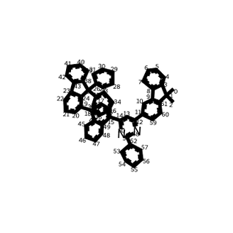 CC1(C)c2ccccc2-c2cc(-c3cc(-c4ccc(-c5cccc6c5C(c5ccccc5)(c5ccccc5)c5ccccc5-6)c5ccccc45)nc(-c4ccccc4)n3)ccc21